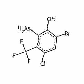 Oc1c(Br)cc(Cl)c(C(F)(F)F)c1[AsH2]